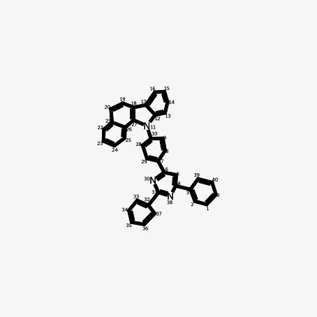 c1ccc(-c2cc(-c3ccc(-n4c5ccccc5c5ccc6ccccc6c54)cc3)nc(-c3ccccc3)n2)cc1